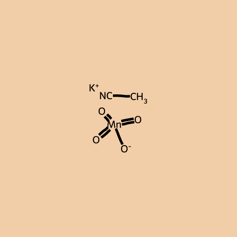 CC#N.[K+].[O]=[Mn](=[O])(=[O])[O-]